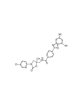 [C-]#[N+]c1cc(C(C)C)c2oc(-c3ccc(C(=O)NCC4(C)CN(c5ccc(Cl)cn5)C(=O)O4)cc3)nc2c1